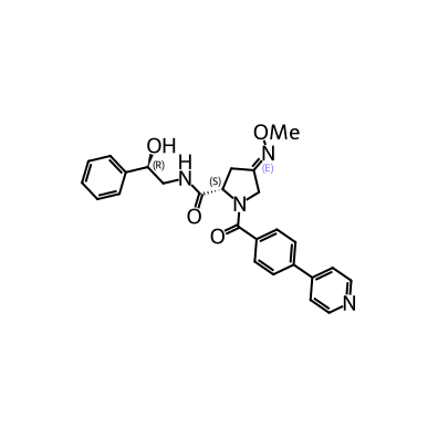 CO/N=C1\C[C@@H](C(=O)NC[C@H](O)c2ccccc2)N(C(=O)c2ccc(-c3ccncc3)cc2)C1